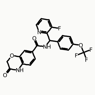 O=C1COc2cc(C(=O)NC(c3ccc(OC(F)(F)F)cc3)c3ncccc3F)ccc2N1